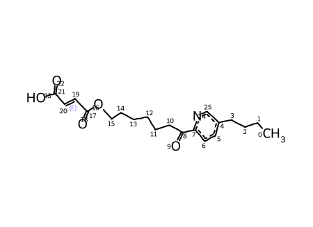 CCCCc1ccc(C(=O)CCCCCCOC(=O)/C=C/C(=O)O)nc1